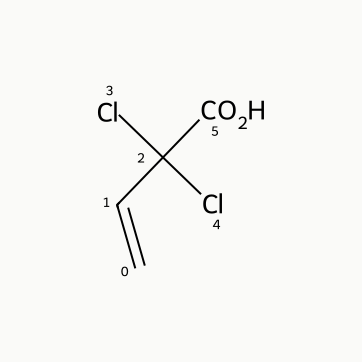 C=CC(Cl)(Cl)C(=O)O